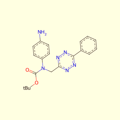 CC(C)(C)OC(=O)N(Cc1nnc(-c2ccccc2)nn1)c1ccc(N)cc1